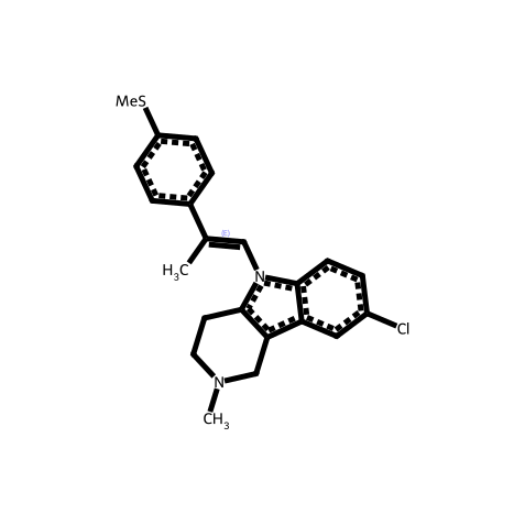 CSc1ccc(/C(C)=C/n2c3c(c4cc(Cl)ccc42)CN(C)CC3)cc1